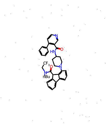 CCCCN(CC(F)(F)F)C(=O)C1c2ccccc2-c2cccc(N3CCC(NC(=O)c4cnccc4-c4ccccc4)CC3)c21